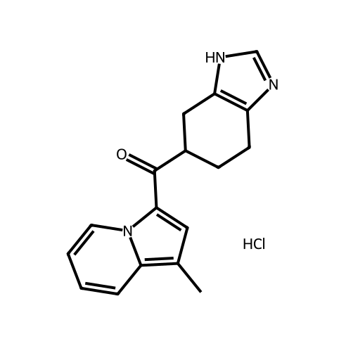 Cc1cc(C(=O)C2CCc3nc[nH]c3C2)n2ccccc12.Cl